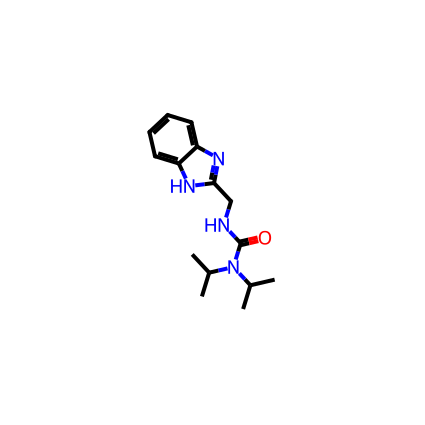 CC(C)N(C(=O)NCc1nc2ccccc2[nH]1)C(C)C